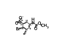 COC(=O)Nc1cc(F)c(Br)c([N+](=O)[O-])c1